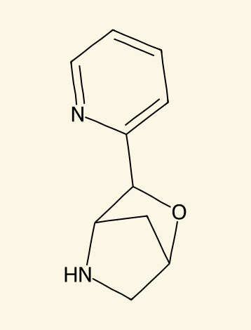 c1ccc(C2OC3CNC2C3)nc1